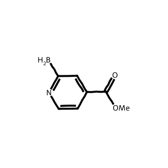 Bc1cc(C(=O)OC)ccn1